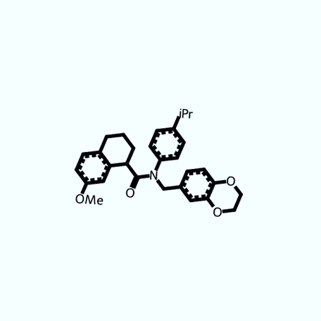 COc1ccc2c(c1)C(C(=O)N(Cc1ccc3c(c1)OCCO3)c1ccc(C(C)C)cc1)CCC2